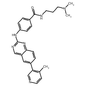 Cc1ccncc1-c1ccc2nc(Nc3ccc(C(=O)NCCCN(C)C)cc3)ncc2c1